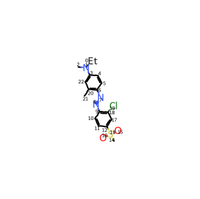 CCN(C)c1ccc(N=Nc2ccc(S(C)(=O)=O)cc2Cl)c(C)c1